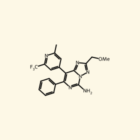 COCc1nc2c(-c3cc(C)nc(C(F)(F)F)c3)c(-c3ccccc3)nc(N)n2n1